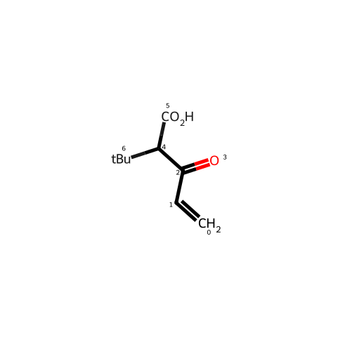 C=CC(=O)C(C(=O)O)C(C)(C)C